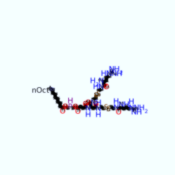 CCCCCCCC/C=C\CCCCCCCC(=O)OCPCOC(=O)CCC(=O)NC(CC(=O)NCCSSCCNC(=O)C(N)CCCNC(=N)N)C(=O)NCCSSCCNC(=O)C(N)CCCNC(=N)N